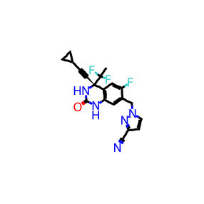 CC(F)(F)[C@@]1(C#CC2CC2)NC(=O)Nc2cc(Cn3ccc(C#N)n3)c(F)cc21